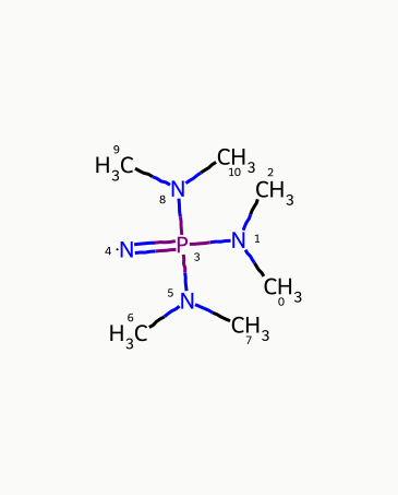 CN(C)P(=[N])(N(C)C)N(C)C